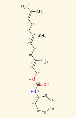 CC(C)=CCC/C(C)=C/CC/C(C)=C/COC(=O)NC1CCCCCC1